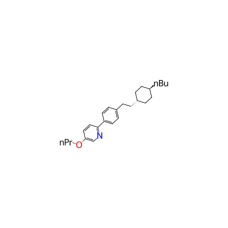 CCCC[C@H]1CC[C@H](CCc2ccc(-c3ccc(OCCC)cn3)cc2)CC1